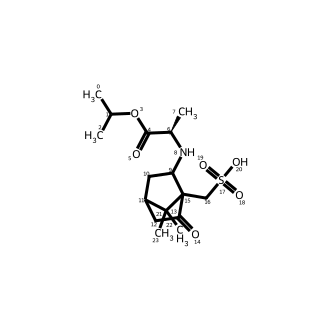 CC(C)OC(=O)[C@@H](C)NC1CC2CC(=O)C1(CS(=O)(=O)O)C2(C)C